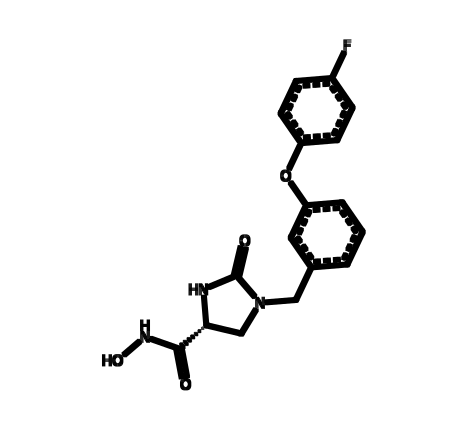 O=C(NO)[C@H]1CN(Cc2cccc(Oc3ccc(F)cc3)c2)C(=O)N1